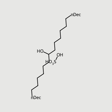 CCCCCCCCCCCCCCCCC(O)CCCCCCCCCCCCCCCC.O=S(=O)(O)O